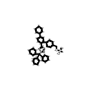 CS(=O)(=O)OCc1ccc(-c2cc(-c3ccccc3)ccc2-c2nnn(C(c3ccccc3)(c3ccccc3)c3ccccc3)n2)cc1